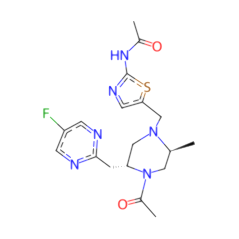 CC(=O)Nc1ncc(CN2C[C@@H](Cc3ncc(F)cn3)N(C(C)=O)C[C@@H]2C)s1